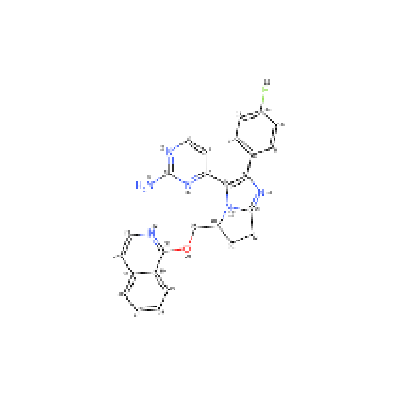 Nc1nccc(-c2c(-c3ccc(F)cc3)nc3n2C(COc2nccc4ccccc24)CC3)n1